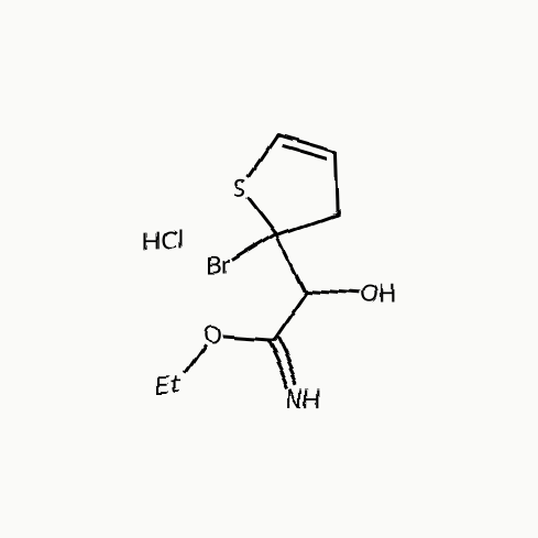 CCOC(=N)C(O)C1(Br)CC=CS1.Cl